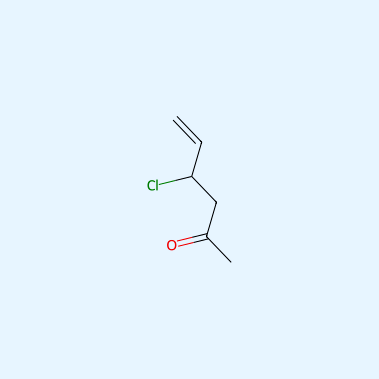 C=CC(Cl)CC(C)=O